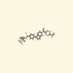 CC(=O)N1CCN(C(=O)c2ccc3c(ccn3-c3ccc([C@@H](C)CNS(=O)(=O)C(C)C)cc3)c2)CC1